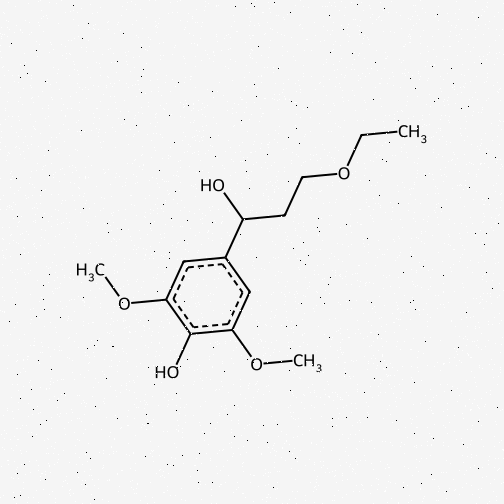 CCOCCC(O)c1cc(OC)c(O)c(OC)c1